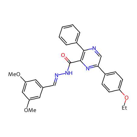 CCOc1ccc(-c2cnc(-c3ccccc3)c(C(=O)N/N=C/c3cc(OC)cc(OC)c3)n2)cc1